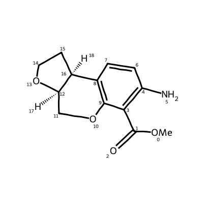 COC(=O)c1c(N)ccc2c1OC[C@H]1OCC[C@@H]21